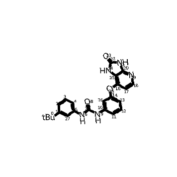 CC(C)(C)c1cccc(NC(=O)Nc2cccc(Oc3ccnc4[nH]c(=O)[nH]c34)c2)c1